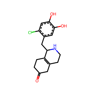 O=C1CCC2=C(CCNC2Cc2cc(O)c(O)cc2Cl)C1